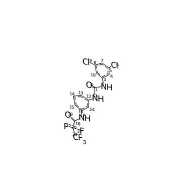 O=C(Nc1cc(Cl)cc(Cl)c1)Nc1cccc(NC(=O)C(F)(F)C(F)(F)F)c1